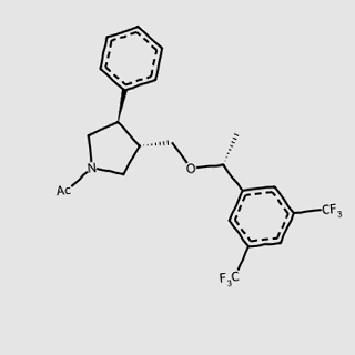 CC(=O)N1C[C@@H](CO[C@H](C)c2cc(C(F)(F)F)cc(C(F)(F)F)c2)[C@H](c2ccccc2)C1